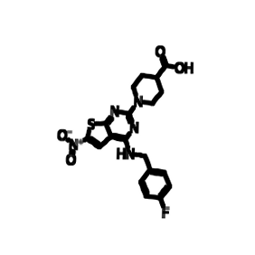 O=C(O)C1CCN(c2nc(NCc3ccc(F)cc3)c3cc([N+](=O)[O-])sc3n2)CC1